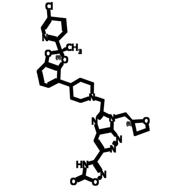 C[C@]1(c2ccc(Cl)cn2)Oc2cccc(C3CCN(Cc4nc5cc(-c6noc(=O)[nH]6)nnc5n4C[C@@H]4CCO4)CC3)c2O1